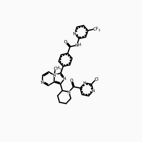 C[N+]12C=CN=CC1=C(C1CCCCN1C(=O)c1ccnc(Cl)n1)N=C2c1ccc(C(=O)Nc2cc(C(F)(F)F)ccn2)cc1